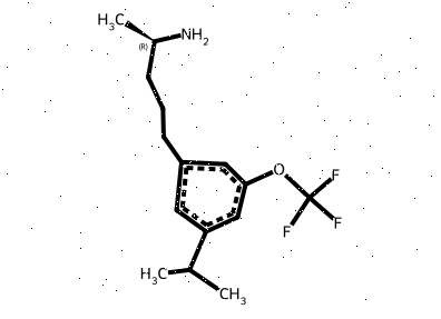 CC(C)c1cc(CCC[C@@H](C)N)cc(OC(F)(F)F)c1